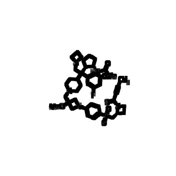 CC#CC(=O)N1CC[C@H]1CS(=O)(=O)c1ccc(N2CC(CN3CCC(C(CN4CCC4)(c4cccc(F)c4)[C@H]4CCC[C@@H]4NC(=O)OC)CC3)(OC)C2)cc1